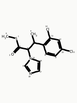 CSC(=O)C(C(C)c1ccc(Cl)cc1Cl)n1ccnc1